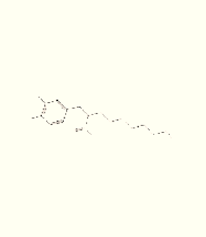 CCCCCOCCC(Cc1ccc(O)c(O)c1)[N+](=O)[O-]